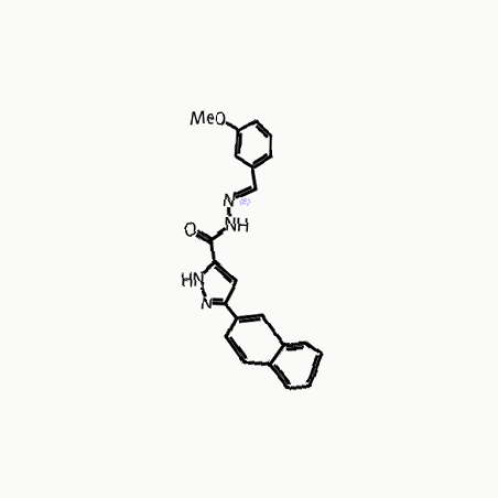 COc1cccc(/C=N/NC(=O)c2cc(-c3ccc4ccccc4c3)n[nH]2)c1